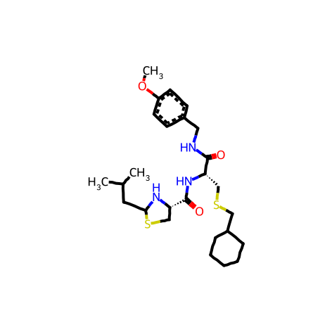 COc1ccc(CNC(=O)[C@H](CSCC2CCCCC2)NC(=O)[C@@H]2CSC(CC(C)C)N2)cc1